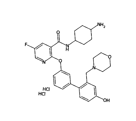 Cl.Cl.NC1CCC(NC(=O)c2cc(F)cnc2Oc2cccc(-c3ccc(O)cc3CN3CCOCC3)c2)CC1